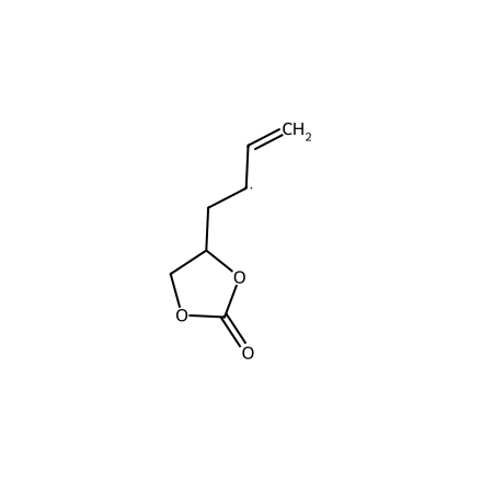 C=C[CH]CC1COC(=O)O1